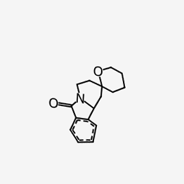 O=C1c2ccccc2C2CC3(CCCCO3)CCN12